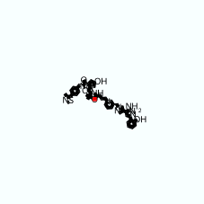 Cc1ncsc1-c1ccc(CNC(=O)[C@@H]2C[C@@H](O)CN2C(=O)[C@@H](NC(=O)CCCN2CCC[C@H](Cn3cc(-c4cc(-c5ccccc5O)nnc4N)cn3)C2)C(C)(C)C)cc1